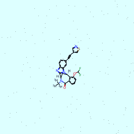 [2H]C([2H])([2H])N1C(=O)c2cccc(OC(F)F)c2[C@H]2C[C@@H]1c1nc3ccc(C#Cc4cnsc4)cc3n12